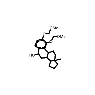 COCOc1ccc2c(c1OCOC)C1CCC3(C)CCCC3C1CC2O